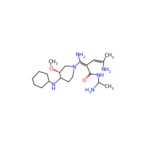 CO[C@H]1CN(/C(N)=C(/C=C(/C)N)C(=O)NC(C)N)CCC1NC1CCCCC1